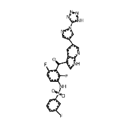 O=C(c1c(F)ccc(NS(=O)(=O)c2cccc(F)c2)c1F)c1c[nH]c2ncc(-c3cnn(-c4nnn[nH]4)c3)cc12